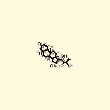 C=C(C(=O)[C@H](O)C1[C@@H](OC(C)=O)C[C@@]2(C)[C@@H]3CC[C@H]4[C@H](C)C(=O)C=C[C@@]45C[C@@]35CC[C@]12C)C(C)C